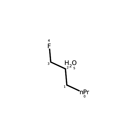 CCCCCCF.O